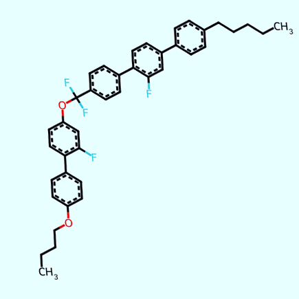 CCCCCc1ccc(-c2ccc(-c3ccc(C(F)(F)Oc4ccc(-c5ccc(OCCCC)cc5)c(F)c4)cc3)c(F)c2)cc1